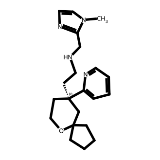 Cn1ccnc1CNCC[C@@]1(c2ccccn2)CCOC2(CCCC2)C1